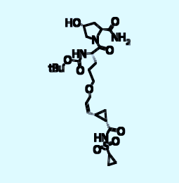 CC(C)(C)OC(=O)N[C@@H](CCCOC/C=C\[C@@H]1C[C@@H]1C(=O)NS(=O)(=O)C1CC1)C(=O)N1C[C@H](O)C[C@H]1C(N)=O